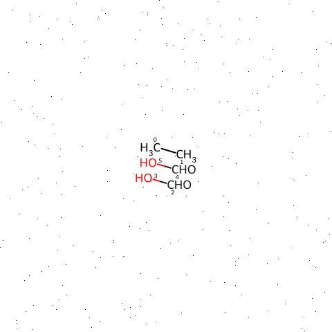 CC.O=CO.O=CO